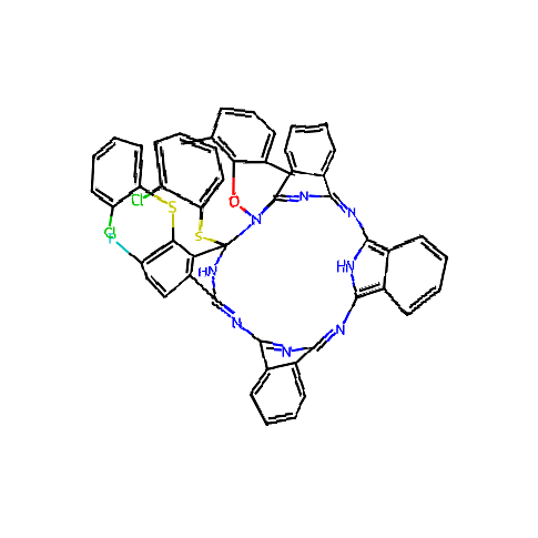 Cc1cccc(C)c1ON1C2=NC(=Nc3[nH]c(c4ccccc34)N=C3N=C(N=C4NC1(Sc1ccccc1Cl)c1c4ccc(F)c1Sc1ccccc1Cl)c1ccccc13)c1ccccc12